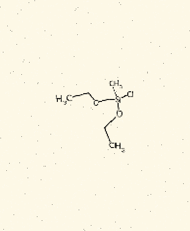 CCO[Si](C)(Cl)OCC